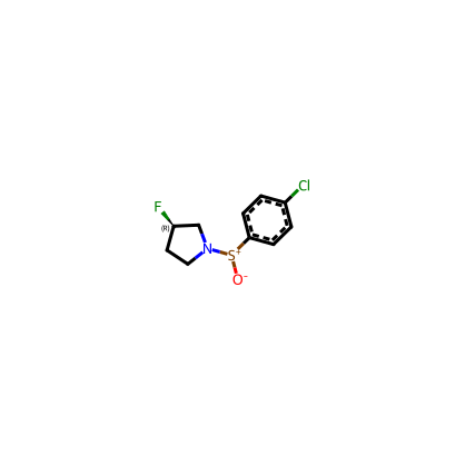 [O-][S+](c1ccc(Cl)cc1)N1CC[C@@H](F)C1